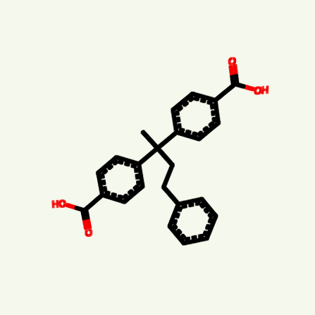 CC(CCc1ccccc1)(c1ccc(C(=O)O)cc1)c1ccc(C(=O)O)cc1